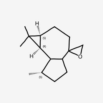 C[C@H]1CCC2C1[C@@H]1[C@H](CCC23CO3)C1(C)C